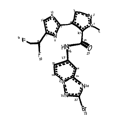 Cn1ncc(-c2nc(C(F)F)cs2)c1C(=O)Nc1ccn2nc(Br)nc2c1